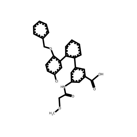 COCC(=O)Nc1cc(C(=O)O)cc(-c2ccccc2-c2cc(Cl)ccc2OCc2ccccc2)c1